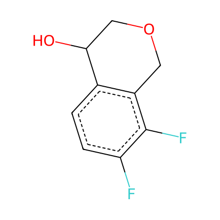 OC1COCc2c1ccc(F)c2F